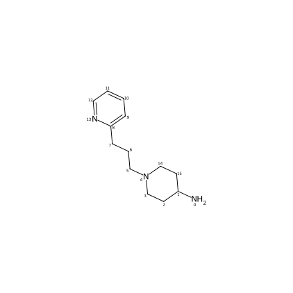 NC1CCN(CCCc2ccccn2)CC1